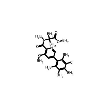 BOC(=O)C(B)(B)N(B)C(=O)c1ncc(-c2c(B)c(B)c(B)c(Cl)c2B)cc1OB